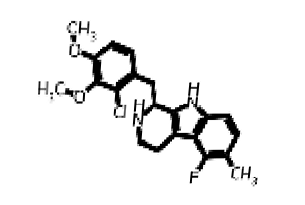 COc1ccc(CC2NCCc3c2[nH]c2ccc(C)c(F)c32)c(Cl)c1OC